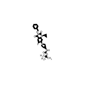 CC(C)(C)OC(=O)NC1C2CN(c3cc4c(cc3F)c(=O)n(OCc3ccccc3)c(=O)n4C3CC3)CC21